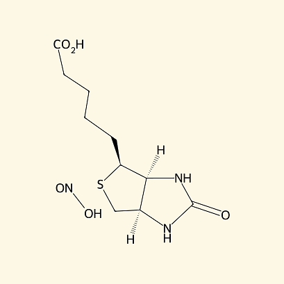 O=C(O)CCCC[C@@H]1SC[C@@H]2NC(=O)N[C@@H]21.O=NO